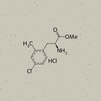 COC(=O)[C@@H](N)Cc1ccc(Cl)cc1C.Cl